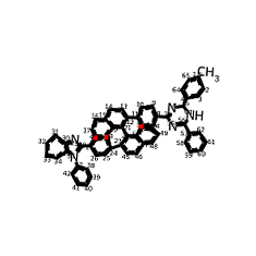 Cc1ccc(C2N=C(c3ccc(-c4ccc5ccccc5c4-c4c(-c5ccc(-c6nc7ccccc7n6-c6ccccc6)cc5)ccc5ccccc45)cc3)N=C(c3ccccc3)N2)cc1